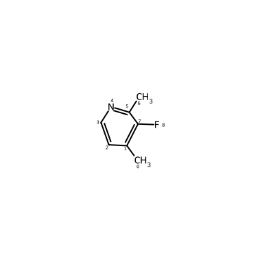 Cc1ccnc(C)c1F